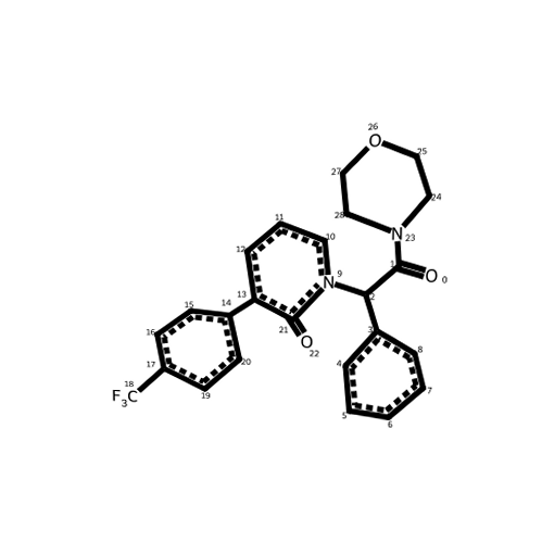 O=C(C(c1ccccc1)n1cccc(-c2ccc(C(F)(F)F)cc2)c1=O)N1CCOCC1